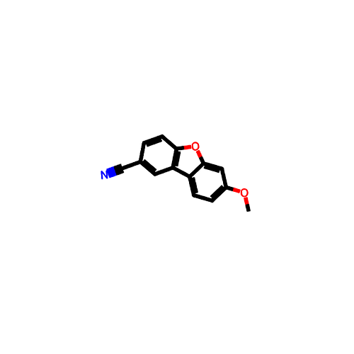 COc1ccc2c(c1)oc1ccc(C#N)cc12